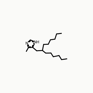 CCCCCCC(CCCCCC)Cc1[nH]cnc1C